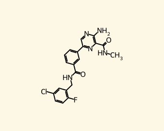 CNC(=O)c1nc(-c2cccc(C(=O)NCc3cc(Cl)ccc3F)c2)cnc1N